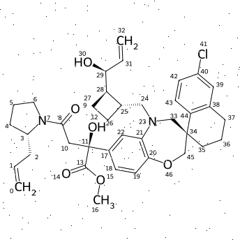 C=CC[C@@H]1CCCN1C(=O)C[C@@](O)(C(=O)OC)c1ccc2c(c1)N(C[C@@H]1CC[C@H]1[C@@H](O)C=C)C[C@@]1(CCCc3cc(Cl)ccc31)CO2